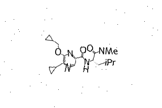 CNC(=O)[C@H](CC(C)C)NC(=O)c1cnc(C2CC2)c(OCC2CC2)n1